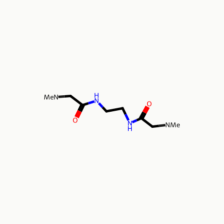 CNCC(=O)NCCNC(=O)CNC